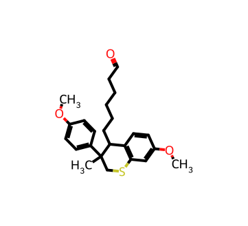 COc1ccc(C2(C)CSc3cc(OC)ccc3C2CCCCCC=O)cc1